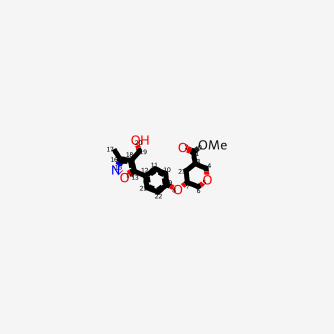 COC(=O)C1COCC(Oc2ccc(-c3onc(C)c3CO)cc2)C1